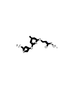 Cc1cc(OC/C=C(\Cl)SC(F)(F)F)nc(Oc2csc(C(F)(F)F)c2)c1